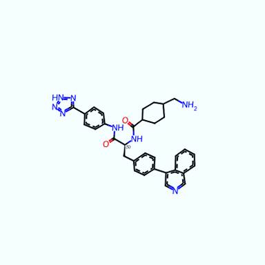 NCC1CCC(C(=O)N[C@@H](Cc2ccc(-c3cncc4ccccc34)cc2)C(=O)Nc2ccc(-c3nn[nH]n3)cc2)CC1